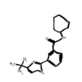 CC(C)(C)C1COC(c2cccc(C(=O)NC3CCCCC3)c2)=N1